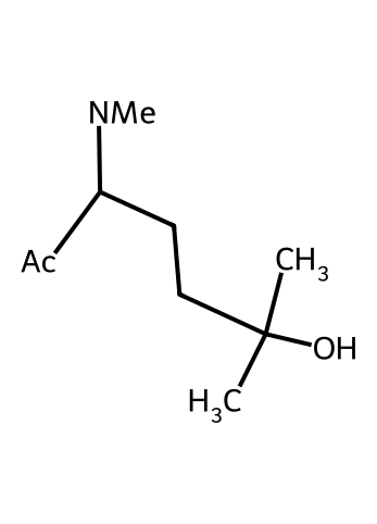 CNC(CCC(C)(C)O)C(C)=O